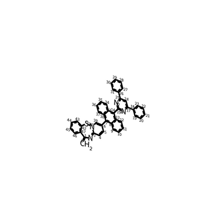 C=C1N=C2C=CC(c3c4ccccc4c(-c4nc(-c5ccccc5)cc(-c5ccccc5)n4)c4ccccc34)=CN2Sc2ccccc21